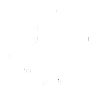 CCCC1=C(C(=O)O)C(c2cc(Cl)cc(Cl)c2Cl)c2cn[nH]c2N1